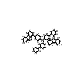 c1ccc(-c2cccc(N(c3ccc(-c4ccccc4-n4c5ccccc5c5ccccc54)cc3)c3ccc(-c4cccc5c4oc4ccccc45)cc3)c2)cc1